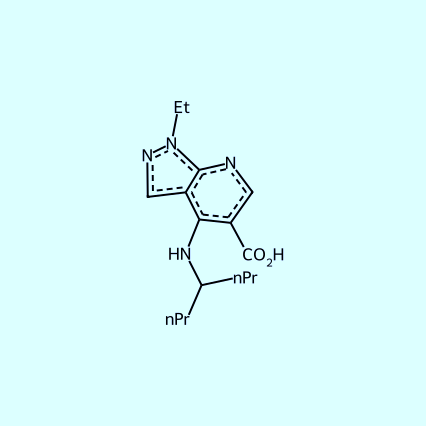 CCCC(CCC)Nc1c(C(=O)O)cnc2c1cnn2CC